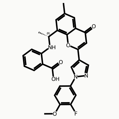 COc1ccc(-n2cc(-c3cc(=O)c4cc(C)cc([C@@H](C)Nc5ccccc5C(=O)O)c4o3)cn2)cc1F